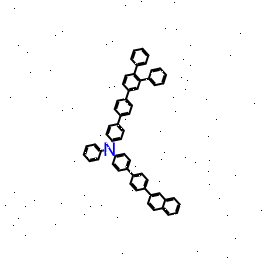 c1ccc(-c2ccc(-c3ccc(-c4ccc(N(c5ccccc5)c5ccc(-c6ccc(-c7ccc8ccccc8c7)cc6)cc5)cc4)cc3)cc2-c2ccccc2)cc1